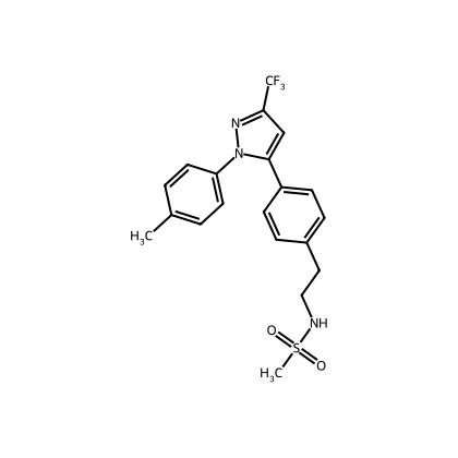 Cc1ccc(-n2nc(C(F)(F)F)cc2-c2ccc(CCNS(C)(=O)=O)cc2)cc1